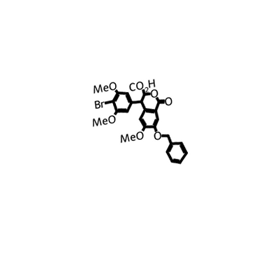 COc1cc2c(cc1OCc1ccccc1)C(=O)OC(C(=O)O)C2c1cc(OC)c(Br)c(OC)c1